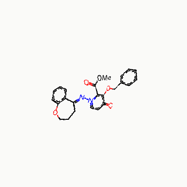 COC(=O)c1c(OCc2ccccc2)c(=O)ccn1/N=C1\CCCOc2ccccc21